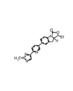 CC[C@@H]1OC(=O)N2c3ccc(-c4ccc(-c5cnn(C)n5)nc4)cc3C[C@@H]12